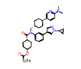 CNC(=O)O[C@H]1CC[C@H](C(=O)N(C[C@H]2CC[C@H](c3ccc(N(C)C)nc3)CC2)c2cccc(-c3cnn(C4CC4)c3)c2)CC1